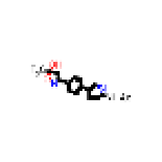 CC(=O)Nc1ccc(-c2ccc(C3=NOC(O)(C(F)(F)F)C3)cc2)cn1